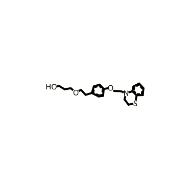 OCCCOCCc1ccc(OCCN2CCSc3ccccc32)cc1